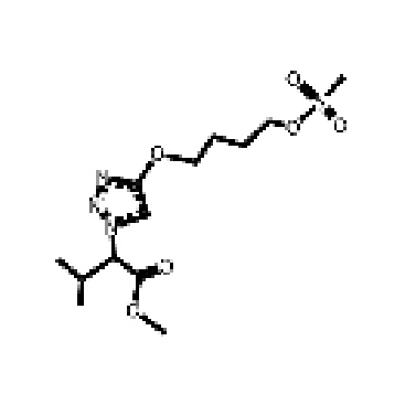 COC(=O)C(C(C)C)n1cc(OCCCCOS(C)(=O)=O)nn1